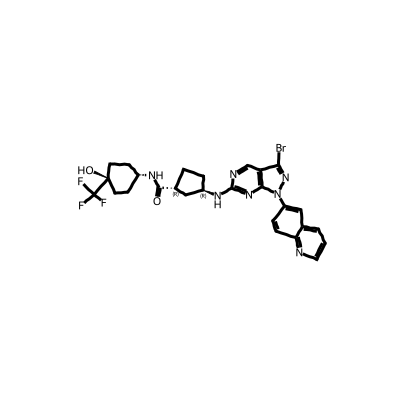 O=C(N[C@H]1CC[C@@](O)(C(F)(F)F)CC1)[C@@H]1CC[C@@H](Nc2ncc3c(Br)nn(-c4ccc5ncccc5c4)c3n2)C1